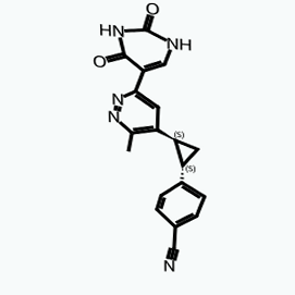 Cc1nnc(-c2c[nH]c(=O)[nH]c2=O)cc1[C@H]1C[C@@H]1c1ccc(C#N)cc1